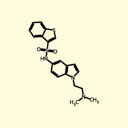 CN(C)CCn1ccc2cc(NS(=O)(=O)c3csc4ccccc34)ccc21